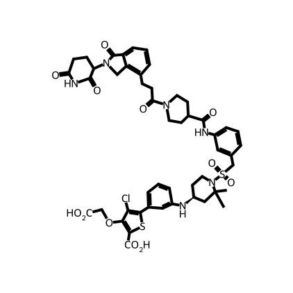 CC1(C)C[C@@H](Nc2cccc(-c3sc(C(=O)O)c(OCC(=O)O)c3Cl)c2)CCN1S(=O)(=O)Cc1cccc(NC(=O)C2CCN(C(=O)CCc3cccc4c3CN(C3CCC(=O)NC3=O)C4=O)CC2)c1